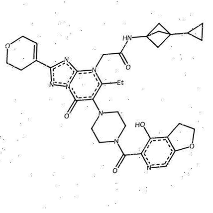 CCc1c(N2CCN(C(=O)c3ncc4c(c3O)CCO4)CC2)c(=O)n2nc(C3=CCOCC3)nc2n1CC(=O)NC12CC(C3CC3)(C1)C2